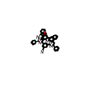 N#Cc1cc(-c2cc(-c3ccccc3)nc(-c3ccccc3)n2)c(-n2c3ccccc3c3cc(-c4ccccc4C#N)ccc32)c(-c2nc(-c3ccccc3)cc(-c3ccccc3)n2)c1